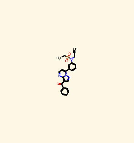 C#CCN(c1cccc(-c2ccnc3c(C(=O)c4ccccc4)cnn23)c1)S(=O)(=O)CC